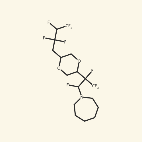 FC(C(F)(F)F)C(F)(F)CC1COC(C(F)(C(F)N2CCCCCC2)C(F)(F)F)CO1